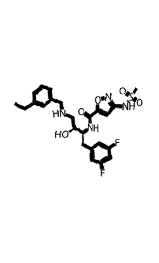 CCc1cccc(CNC[C@H](O)[C@H](Cc2cc(F)cc(F)c2)NC(=O)c2cc(NS(C)(=O)=O)no2)c1